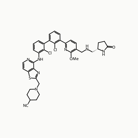 COc1nc(-c2cccc(-c3cccc(Nc4nccc5sc(CN6CCC(C#N)CC6)nc45)c3Cl)c2Cl)ccc1CNC[C@@H]1CCC(=O)N1